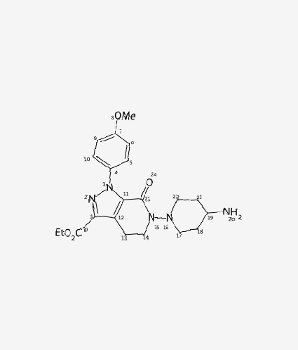 CCOC(=O)c1nn(-c2ccc(OC)cc2)c2c1CCN(N1CCC(N)CC1)C2=O